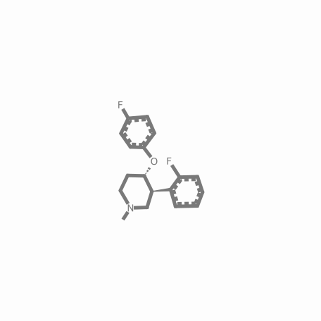 CN1CC[C@H](Oc2ccc(F)cc2)[C@@H](c2ccccc2F)C1